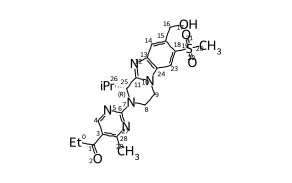 CCC(=O)c1cnc(N2CCn3c(nc4cc(CO)c(S(C)(=O)=O)cc43)[C@H]2C(C)C)nc1C